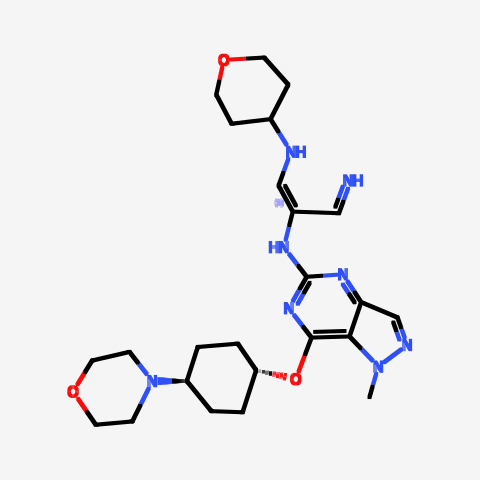 Cn1ncc2nc(N/C(C=N)=C/NC3CCOCC3)nc(O[C@H]3CC[C@H](N4CCOCC4)CC3)c21